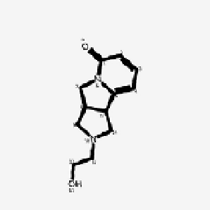 O=c1cccc2n1CC1CN(CCO)CC21